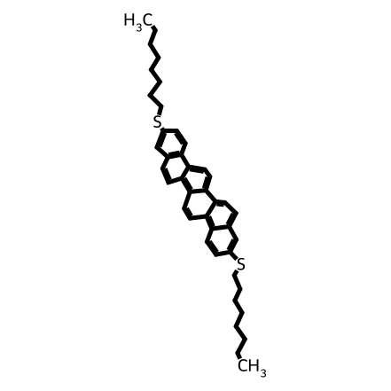 CCCCCCCCSc1ccc2c(ccc3c2ccc2c4ccc5cc(SCCCCCCCC)ccc5c4ccc32)c1